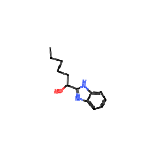 CCCCCC(O)c1nc2ccccc2[nH]1